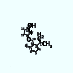 C=C(C)c1cccc(I)c1COc1ccn(O)n1